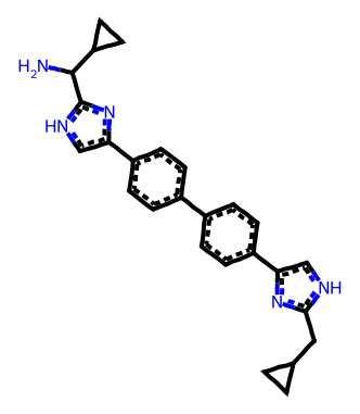 NC(c1nc(-c2ccc(-c3ccc(-c4c[nH]c(CC5CC5)n4)cc3)cc2)c[nH]1)C1CC1